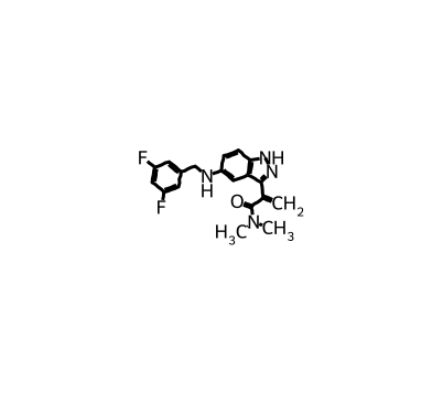 C=C(C(=O)N(C)C)c1n[nH]c2ccc(NCc3cc(F)cc(F)c3)cc12